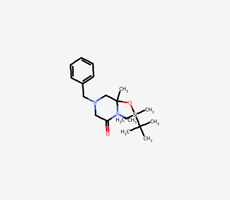 CN1C(=O)CN(Cc2ccccc2)CC1(C)O[Si](C)(C)C(C)(C)C